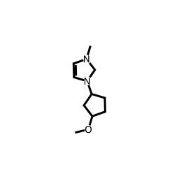 COC1CCC(N2C=CN(C)C2)C1